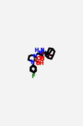 NC(=O)C12CC3CC(C1)C(NC(=O)CN1CCCN(c4ccc(F)cc4)S1(O)O)C(C3)C2